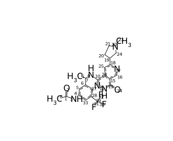 CC(=O)Nc1cc([C@@H](C)Nc2n[nH]c(=O)c3cnc(C4CCN(C)C4)cc23)cc(C(F)(F)F)c1